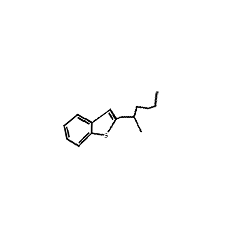 CCCC(C)c1cc2ccccc2s1